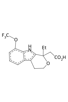 CCC1(CC(=O)O)OCCc2c1[nH]c1c(OC(F)(F)F)cccc21